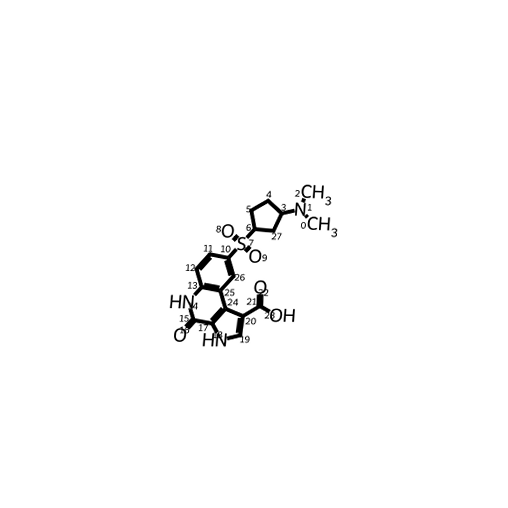 CN(C)C1CCC(S(=O)(=O)c2ccc3[nH]c(=O)c4[nH]cc(C(=O)O)c4c3c2)C1